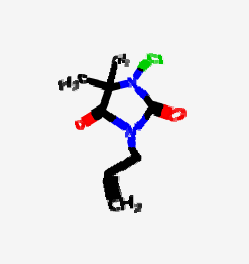 C=CCN1C(=O)N(Cl)C(C)(C)C1=O